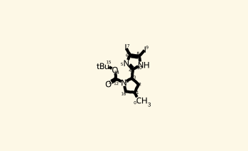 CC1CC(c2nc(I)c(I)[nH]2)N(C(=O)OC(C)(C)C)C1